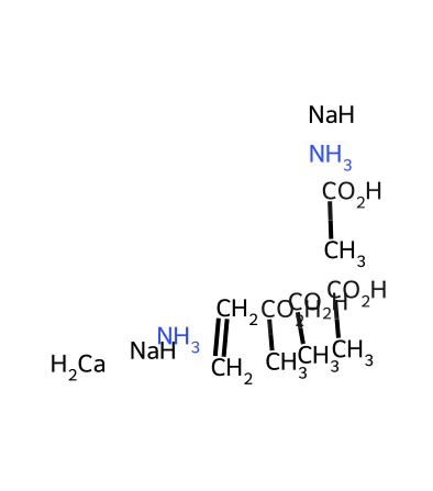 C=C.CC(=O)O.CC(=O)O.CC(=O)O.CC(=O)O.N.N.[CaH2].[NaH].[NaH]